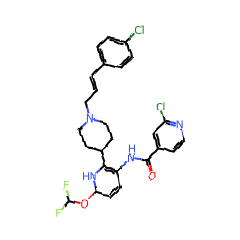 O=C(NC1=C(C2CCN(C/C=C/c3ccc(Cl)cc3)CC2)NC(OC(F)F)C=C1)c1ccnc(Cl)c1